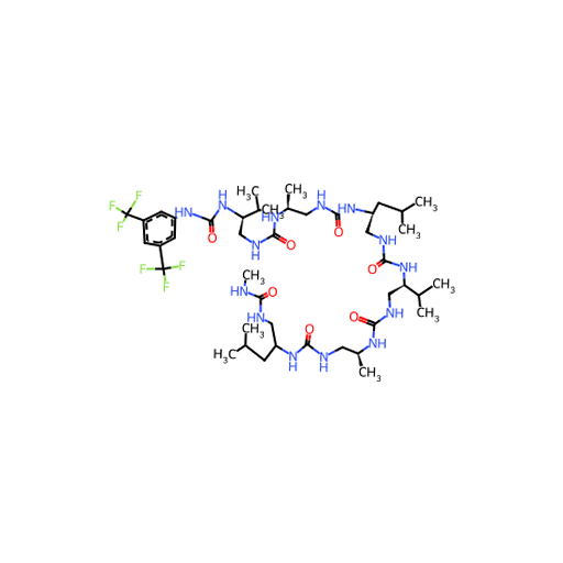 CNC(=O)NCC(CC(C)C)NC(=O)NC[C@H](C)NC(=O)NC[C@@H](NC(=O)NC[C@H](CC(C)C)NC(=O)NC[C@H](C)NC(=O)NC[C@@H](NC(=O)Nc1cc(C(F)(F)F)cc(C(F)(F)F)c1)C(C)C)C(C)C